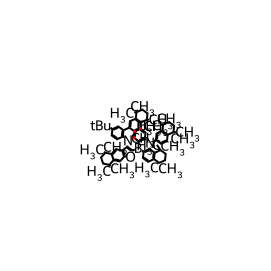 Cc1cc2c3c(c1)N(c1ccc(C(C)(C)C)cc1-c1cc4c(cc1C)C(C)(C)CCC4(C)C)c1c(oc4cc5c(cc14)C(C)(C)CCC5(C)C)B3c1ccc3c(c1N2c1ccc2c(c1)C(C)(C)CCC2(C)C)C(C)(C)CCC3(C)C